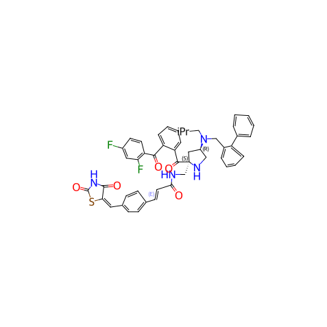 CC(C)CN(Cc1ccccc1-c1ccccc1)[C@H]1CN[C@@](CNC(=O)/C=C/c2ccc(C=C3SC(=O)NC3=O)cc2)(C(=O)c2ccccc2C(=O)c2ccc(F)cc2F)C1